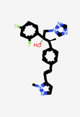 C[C@@H](c1ccc(C=Cc2ccnn2C)cc1)[C@](O)(Cn1cncn1)c1ccc(F)cc1F